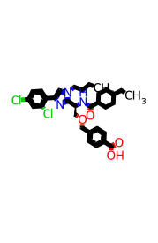 CCCCn1cc(-c2ccc(Cl)cc2Cl)nc1[C@H](COCc1ccc(C(=O)O)cc1)NC(=O)C1CCC(CC)CC1